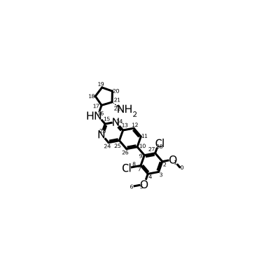 COc1cc(OC)c(Cl)c(-c2ccc3nc(NC4CCC[C@@H]4N)ncc3c2)c1Cl